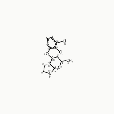 CC(C)C[C@H](Oc1cccc(Cl)c1Cl)[C@H]1CCNC1